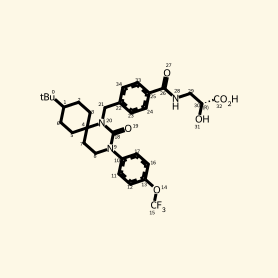 CC(C)(C)C1CCC2(CC1)CCN(c1ccc(OC(F)(F)F)cc1)C(=O)N2Cc1ccc(C(=O)NC[C@@H](O)C(=O)O)cc1